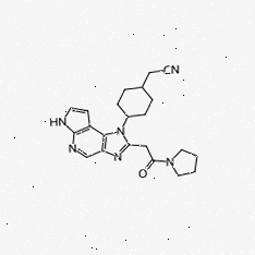 N#CCC1CCC(n2c(CC(=O)N3CCCC3)nc3cnc4[nH]ccc4c32)CC1